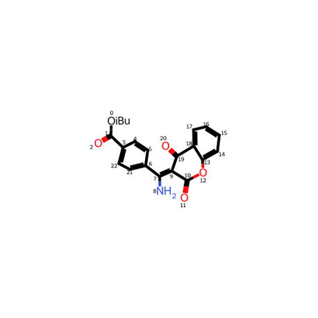 CC(C)COC(=O)c1ccc(/C(N)=C2/C(=O)Oc3ccccc3C2=O)cc1